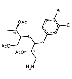 CC(=O)OCC(OC(Sc1ccc(Br)c(Cl)c1)[C@H](CN)OC(C)=O)[C@@H](C)OC(C)=O